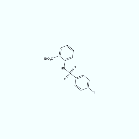 CCOC(=O)c1ccccc1NS(=O)(=O)c1ccc(I)cc1